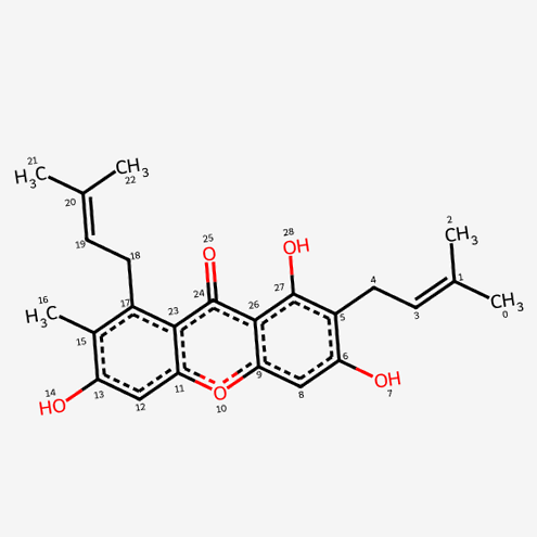 CC(C)=CCc1c(O)cc2oc3cc(O)c(C)c(CC=C(C)C)c3c(=O)c2c1O